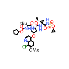 C=C[C@@H]1C[C@]1(NC(=O)[C@@H]1C[C@@H](Oc2ccnc3c(Cl)c(OC)ccc23)CN1C(=O)[C@@H](NC(=O)OC1CCCC1)C(C)(C)C)C(=O)NS(=O)(=O)OC1CC1